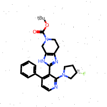 CC(C)(C)OC(=O)N1CCc2nc(-c3c(-c4ccccc4)ccnc3N3CC[C@H](F)C3)[nH]c2C1